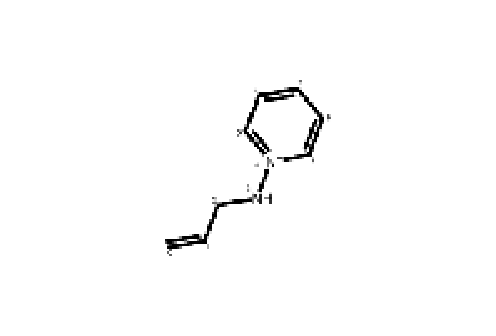 C=CCN[n+]1ccccc1